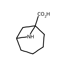 O=C(O)C12CCCCC(C1)N2